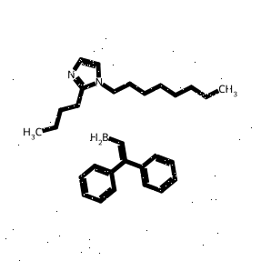 BC=C(c1ccccc1)c1ccccc1.CCCCCCCCn1ccnc1CCCC